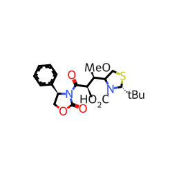 CO[C@@H](C1CS[C@H](C(C)(C)C)N1C(=O)O)[C@@H](C)C(=O)N1C(=O)OC[C@H]1c1ccccc1